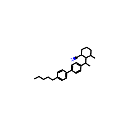 CCCCCc1ccc(-c2ccc(C(C)C3C(C)CCCC3C#N)cc2)cc1